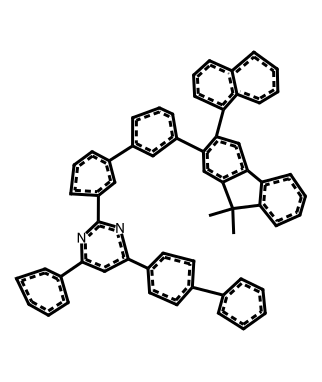 CC1(C)c2ccccc2-c2cc(-c3cccc4ccccc34)c(-c3cccc(-c4cccc(-c5nc(-c6ccccc6)cc(-c6ccc(-c7ccccc7)cc6)n5)c4)c3)cc21